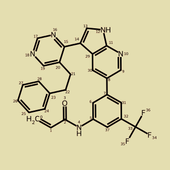 C=CC(=O)Nc1cc(-c2cnc3[nH]cc(-c4ncncc4CCc4ccccc4)c3c2)cc(C(F)(F)F)c1